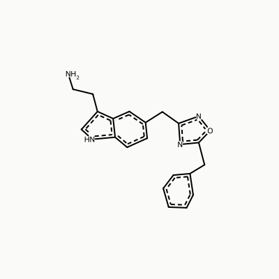 NCCc1c[nH]c2ccc(Cc3noc(Cc4ccccc4)n3)cc12